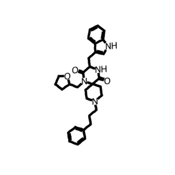 O=C1C(Cc2c[nH]c3ccccc23)NC(=O)C2(CCN(CCCc3ccccc3)CC2)N1CC1CCCO1